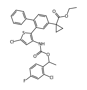 CCOC(=O)C1(c2ccc(-c3ccccc3)c(-c3sc(Cl)cc3NC(=O)OC(C)c3ccc(F)cc3Cl)c2)CC1